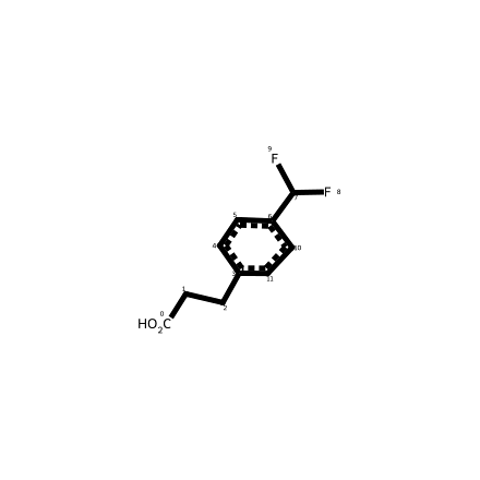 O=C(O)CCc1ccc(C(F)F)cc1